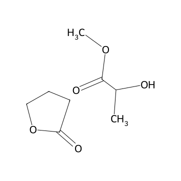 COC(=O)C(C)O.O=C1CCCO1